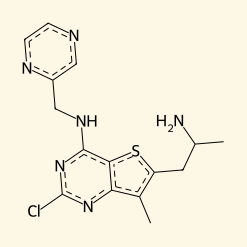 Cc1c(CC(C)N)sc2c(NCc3cnccn3)nc(Cl)nc12